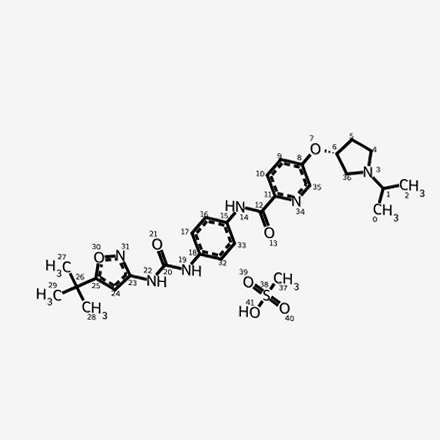 CC(C)N1CC[C@@H](Oc2ccc(C(=O)Nc3ccc(NC(=O)Nc4cc(C(C)(C)C)on4)cc3)nc2)C1.CS(=O)(=O)O